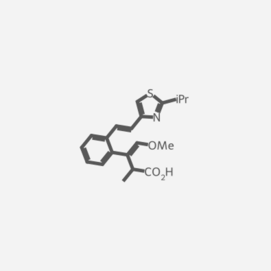 CO/C=C(/c1ccccc1/C=C/c1csc(C(C)C)n1)C(C)C(=O)O